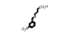 O=C(O)CCC/N=C/c1cccc([N+](=O)[O-])c1